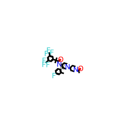 CC(=O)N1CCC(N2CC[C@H](N(C)C(=O)C(C)(C)c3cc(C(F)(F)F)cc(C(F)(F)F)c3)[C@@H](c3ccc(F)cc3C)C2)CC1